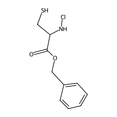 O=C(OCc1ccccc1)C(CS)NCl